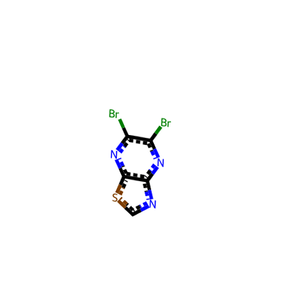 Brc1nc2ncsc2nc1Br